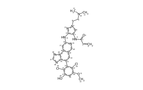 C=CC(=O)Nc1cn(CCN(C)C)nc1Nc1cc2c(cn1)cc(-c1c(Cl)c(O)cc(OC)c1Cl)c1ncnn12